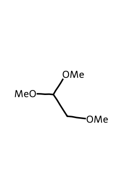 COCC(OC)OC